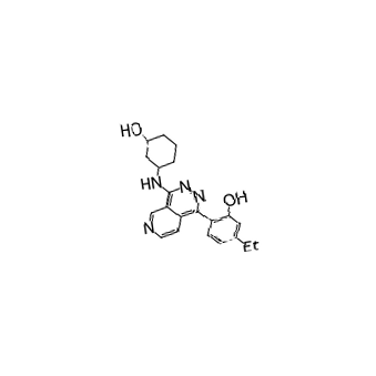 CCc1ccc(-c2nnc(NC3CCCC(O)C3)c3cnccc23)c(O)c1